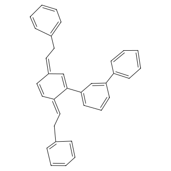 C(Cc1ccccc1)=c1ccc(=CCc2ccccc2)c(-c2cccc(-c3ccccc3)c2)c1